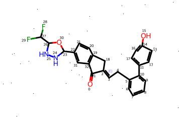 O=C1/C(=C/Cc2ccccc2-c2ccc(O)cc2)Cc2ccc(C3NNC(C(F)F)O3)cc21